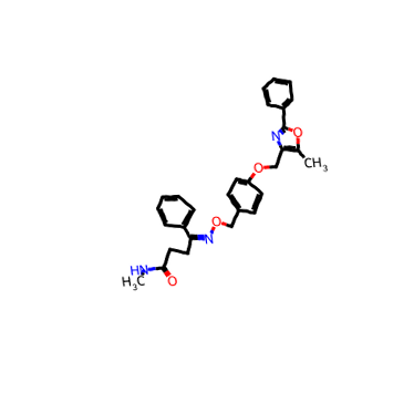 CNC(=O)CCC(=NOCc1ccc(OCc2nc(-c3ccccc3)oc2C)cc1)c1ccccc1